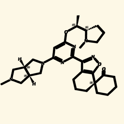 C[C@H](Oc1cc(N2C[C@H]3CN(C)C[C@H]3C2)nc(-c2noc3c2CCC[C@@]32CCCCC2=O)n1)[C@@H]1CCCN1C